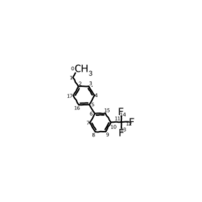 CCc1[c]cc(-c2cccc(C(F)(F)F)c2)cc1